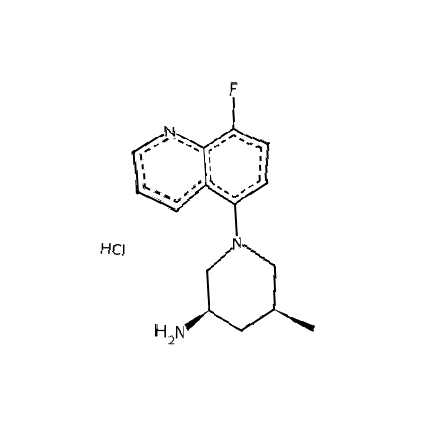 C[C@H]1C[C@@H](N)CN(c2ccc(F)c3ncccc23)C1.Cl